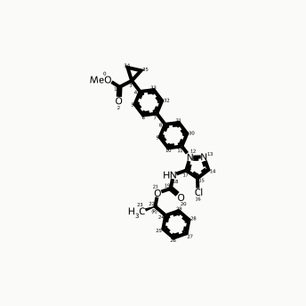 COC(=O)C1(c2ccc(-c3ccc(-n4ncc(Cl)c4NC(=O)O[C@H](C)c4ccccc4)cc3)cc2)CC1